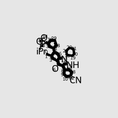 CC(C)Cc1cc2c(=O)c3c4ccc(C#N)cc4[nH]c3n(C3CCCCC3)c2cc1-c1cccc(S(=O)(=O)F)c1